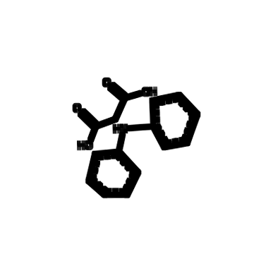 O=C(O)CC(=O)O.c1ccc(Nc2ccccc2)cc1